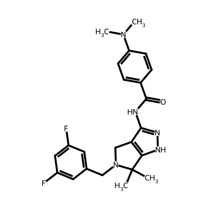 CN(C)c1ccc(C(=O)Nc2n[nH]c3c2CN(Cc2cc(F)cc(F)c2)C3(C)C)cc1